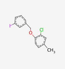 Cc1ccc(OCc2cccc(I)c2)c(Cl)c1